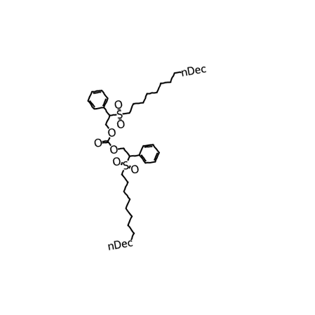 CCCCCCCCCCCCCCCCCCS(=O)(=O)C(COC(=O)OCC(c1ccccc1)S(=O)(=O)CCCCCCCCCCCCCCCCCC)c1ccccc1